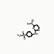 CCN(CC)c1ccnc(Nc2ccc(S(N)(=O)=O)cc2)n1